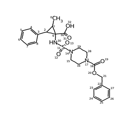 CC1C(c2ccccc2)C1(NS(=O)(=O)N1CCN(C(=O)OCc2ccccc2)CC1)C(=O)O